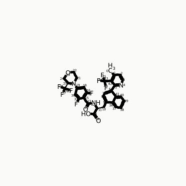 Cc1ccnc(-c2ccc(C[C@H](NC(=O)c3c(F)cc(N4CCOC[C@@H]4C(F)(F)F)cc3F)C(=O)O)c3ccccc23)c1C(F)(F)F